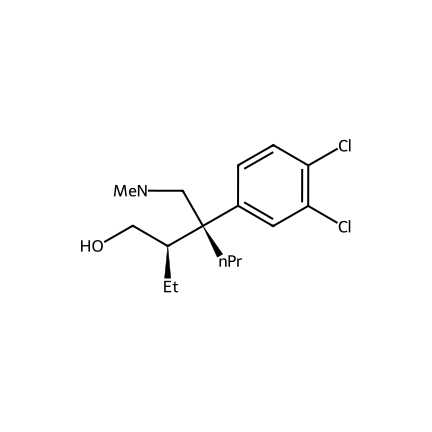 CCC[C@@](CNC)(c1ccc(Cl)c(Cl)c1)[C@@H](CC)CO